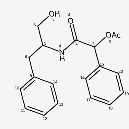 CC(=O)OC(C(=O)NC(CO)Cc1ccccc1)c1ccccc1